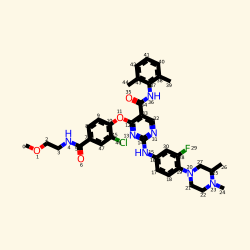 COCCNC(=O)c1ccc(Oc2nc(Nc3ccc(N4CCN(C)C(C)C4)c(F)c3)ncc2C(=O)Nc2c(C)cccc2C)c(Cl)c1